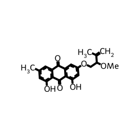 C=C(C)C(COc1cc(O)c2c(c1)C(=O)c1cc(C)cc(O)c1C2=O)OC